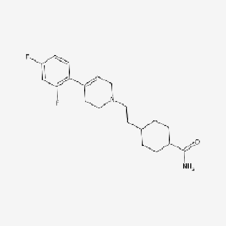 NC(=O)C1CCC(CCN2CC=C(c3ccc(F)cc3F)CC2)CC1